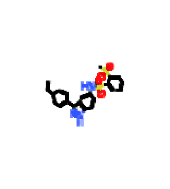 C=Cc1ccc(-c2n[nH]c3ccc(NS(=O)(=O)c4ccccc4S(C)(=O)=O)cc23)cc1